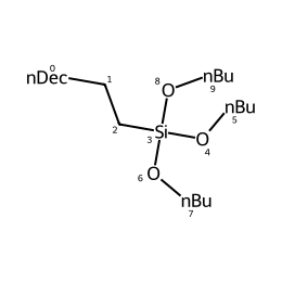 CCCCCCCCCCCC[Si](OCCCC)(OCCCC)OCCCC